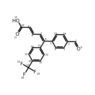 O=Cc1ccc(C(=CC=CC(=O)O)c2ccc(C(F)(F)F)cc2)cc1